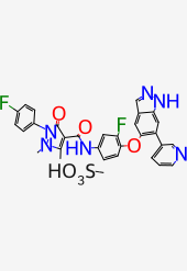 CS(=O)(=O)O.Cc1c(C(=O)Nc2ccc(Oc3cc4cn[nH]c4cc3-c3cccnc3)c(F)c2)c(=O)n(-c2ccc(F)cc2)n1C